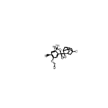 [2H]C([2H])([2H])OC1(c2ccc(C#N)c(OP=O)c2)OOC12C1CC3CC2CC(Cl)(C3)C1